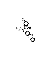 C=C(F)C(O)C(c1ccc(F)c(Oc2ccccc2)c1)C1(c2ccc(Cl)cc2)CC1